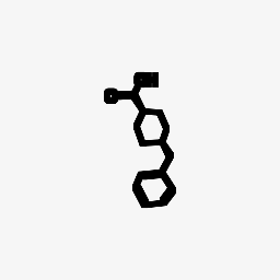 O=C(O)[C@H]1CC[C@@H](Cc2ccccc2)CC1